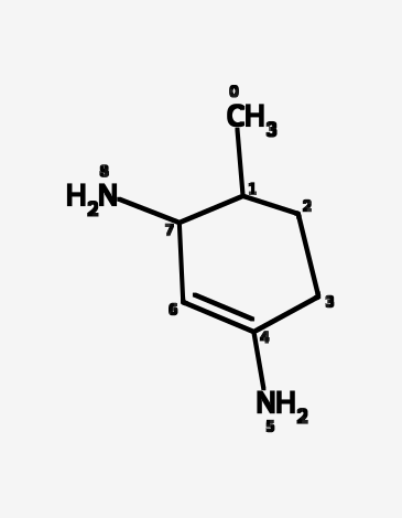 CC1CCC(N)=CC1N